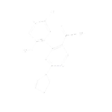 COC(=O)c1cnc(C2CCCC2)cc1-c1cc(Cl)ncc1OC